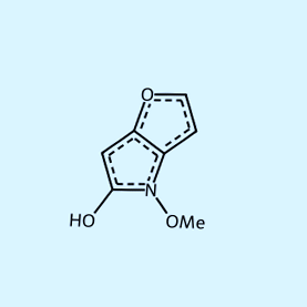 COn1c(O)cc2occc21